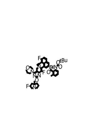 C#Cc1c(F)ccc2cc(OC(=O)c3c(C)cccc3NC(=O)OC(C)(C)C)cc(-c3ncc4c(N5CCCOCC5)nc(OCC56CCCN5C[C@H](F)C6)nc4c3F)c12